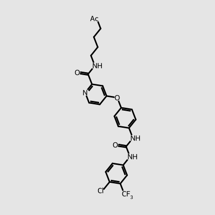 CC(=O)CCCCNC(=O)c1cc(Oc2ccc(NC(=O)Nc3ccc(Cl)c(C(F)(F)F)c3)cc2)ccn1